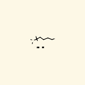 CCCCCC(C)(C)N(C)C.N=C=S